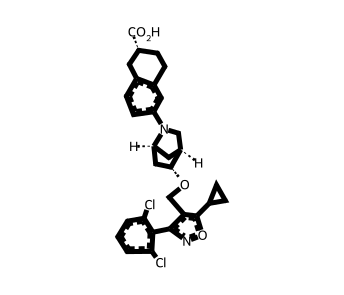 O=C(O)[C@@H]1CCc2cc(N3C[C@@H]4C[C@H]3C[C@H]4OCc3c(-c4c(Cl)cccc4Cl)noc3C3CC3)ccc2C1